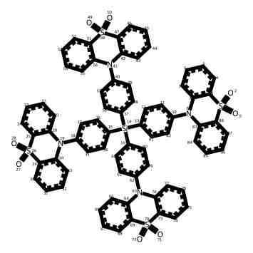 O=S1(=O)c2ccccc2N(c2ccc([Si](c3ccc(N4c5ccccc5S(=O)(=O)c5ccccc54)cc3)(c3ccc(N4c5ccccc5S(=O)(=O)c5ccccc54)cc3)c3ccc(N4c5ccccc5S(=O)(=O)c5ccccc54)cc3)cc2)c2ccccc21